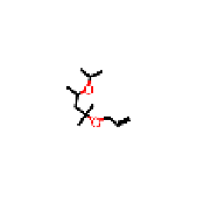 C=CCOC(C)(C)CC(C)OC(C)C